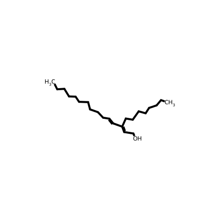 CCCCCCCCCC/C=C/C(=C/CO)CCCCCCCC